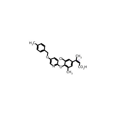 C/C(=C/C(=O)O)c1cc(C)c(Oc2ccc(OCc3ccc(C)cc3)cn2)c(Cl)c1